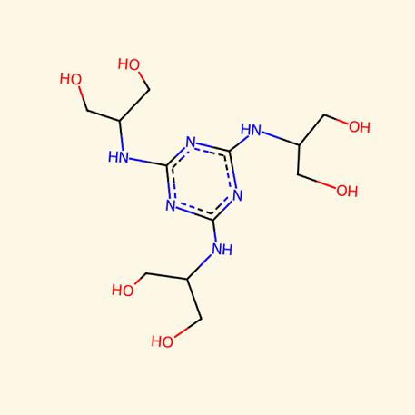 OCC(CO)Nc1nc(NC(CO)CO)nc(NC(CO)CO)n1